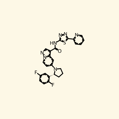 O=C(Nc1nnc(-c2ccccn2)s1)c1cnn2ccc(N3CCC[C@@H]3c3cc(F)ccc3F)cc12